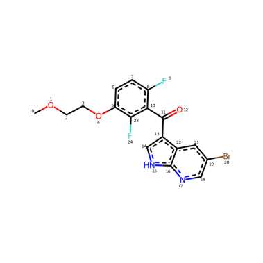 COCCOc1ccc(F)c(C(=O)c2c[nH]c3ncc(Br)cc23)c1F